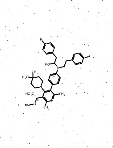 Cc1nc(C)c([C@H](OC(C)(C)C)C(=O)O)c(N2CCC(C)(C)CC2)c1-c1ccc(N(CCc2ccc(F)cc2)C(O)Cc2ccc(F)cc2)cc1